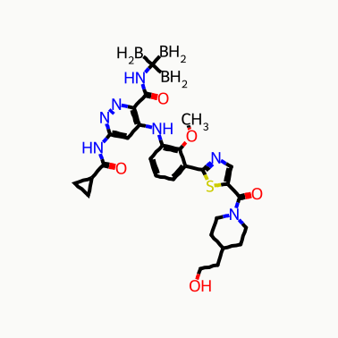 BC(B)(B)NC(=O)c1nnc(NC(=O)C2CC2)cc1Nc1cccc(-c2ncc(C(=O)N3CCC(CCO)CC3)s2)c1OC